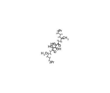 CC(C)CCCC(C)CCC(=O)C(O)C(O)C(O)C(=O)CCC(C)CCCC(C)C